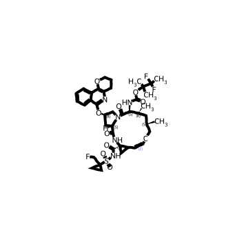 C[C@H]1CC/C=C\C2C[C@@]2(C(=O)NS(=O)(=O)C2(CF)CC2)NC(=O)[C@@H]2C[C@@H](Oc3nc4c(c5ccccc35)OCCC4)CN2C(=O)[C@@H](NC(=O)OC(C)(C)C(C)(F)F)[C@H](C)C1